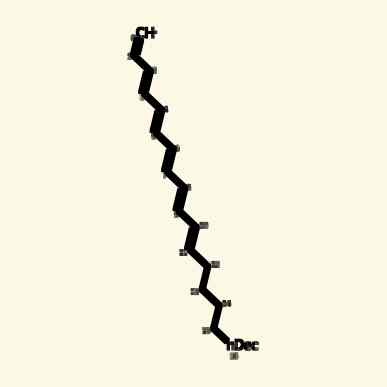 [CH]=CC=CC=CC=CC=CC=CCCCCCCCCCCCCCC